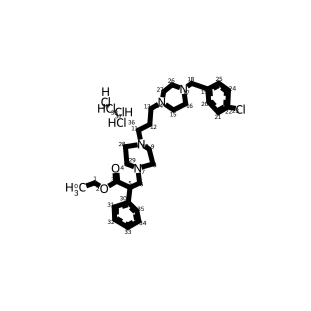 CCOC(=O)C(CN1CCN(CCCN2CCN(Cc3ccc(Cl)cc3)CC2)CC1)c1ccccc1.Cl.Cl.Cl.Cl